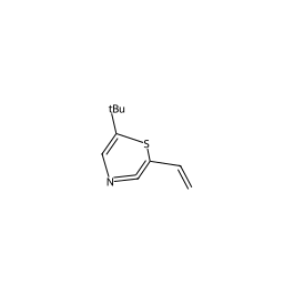 C=CC1=C=NC=C(C(C)(C)C)S1